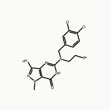 CCCc1nn(C)c2c(=O)[nH]c(N(CCC(C)C)Cc3ccc(Cl)c(Cl)c3)nc12